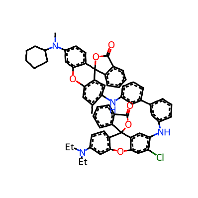 CCN(CC)c1ccc2c(c1)Oc1cc(Cl)c(Nc3cccc(-c4cccc(Nc5cc6c(cc5C)Oc5cc(N(C)C7CCCCC7)ccc5C65OC(=O)c6ccccc65)c4)c3)cc1C21OC(=O)c2ccccc21